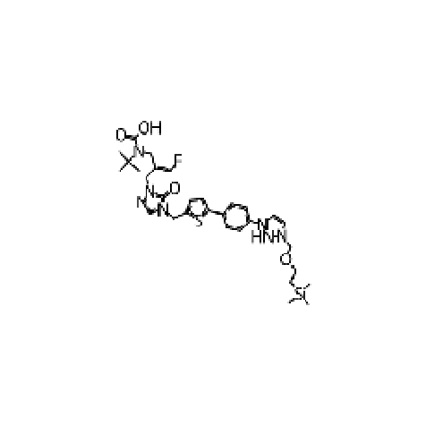 CC(C)(C)N(CC(=CF)Cn1ncn(Cc2ccc(-c3ccc(N4C=CN(COCC[Si](C)(C)C)N4)cc3)s2)c1=O)C(=O)O